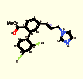 COC(=O)c1ccc(/C=C/Cn2ccnc2)cc1-c1ccc(F)cc1F